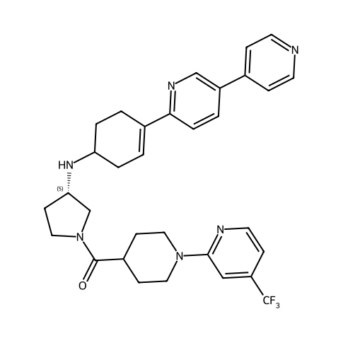 O=C(C1CCN(c2cc(C(F)(F)F)ccn2)CC1)N1CC[C@H](NC2CC=C(c3ccc(-c4ccncc4)cn3)CC2)C1